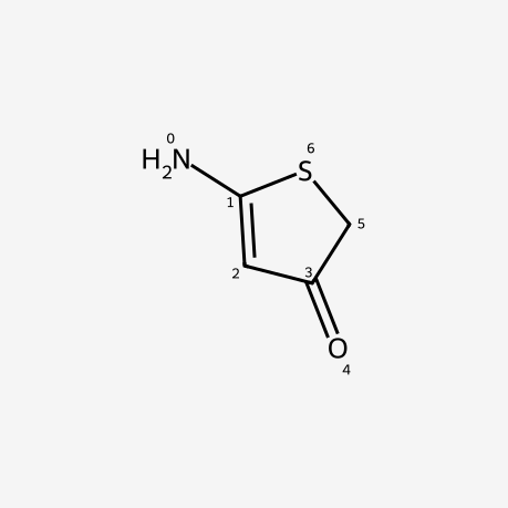 NC1=CC(=O)CS1